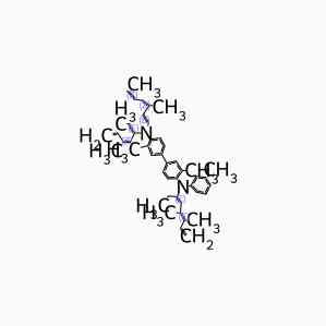 C=C/C(C)=C\C(=C/C)N(/C=C/C(C)=C\C=C/C)c1ccc(-c2ccc(N(/C(=C/C(C)=C(\C)C=C)CC)c3cccc(C)c3)c(C)c2)cc1C